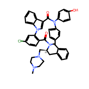 Cc1ccc(N(C(=O)c2cn(-c3cc(Cl)ccc3C(=O)N3Cc4ccccc4C[C@H]3CN3CCN(C)CC3)c3ccccc23)c2ccc(O)cc2)cc1